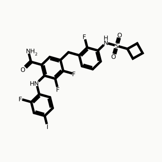 NC(=O)c1cc(Cc2cccc(NS(=O)(=O)C3CCC3)c2F)c(F)c(F)c1Nc1ccc(I)cc1F